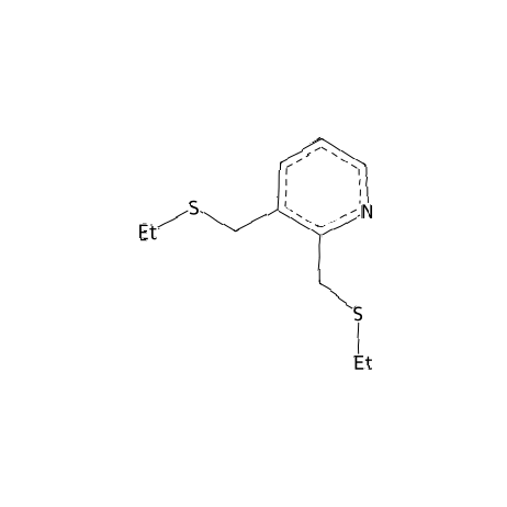 CCSCc1cccnc1CSCC